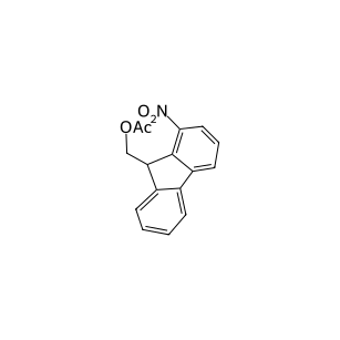 CC(=O)OCC1c2ccccc2-c2cccc([N+](=O)[O-])c21